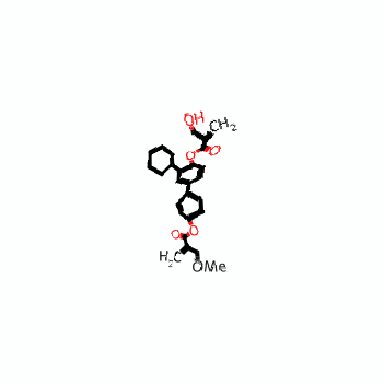 C=C(COC)C(=O)Oc1ccc(-c2ccc(OC(=O)C(=C)CO)c(C3CCCCC3)c2)cc1